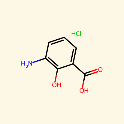 Cl.Nc1cccc(C(=O)O)c1O